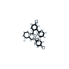 C[C@@H]1CCCN(C(=O)c2ccc(Cl)cc2-c2ncccn2)C1CNc1ncc(Cl)cn1